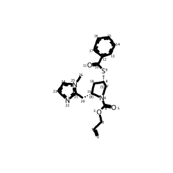 C=CCOC(=O)N1C[C@@H](SC(=O)c2ccccc2)C[C@H]1Cc1nccn1C